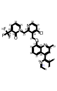 C/C=N\C(=C(C)C)c1cc(C)nc2c(OCc3c(Cl)ccnc3Cn3cccc(C(F)(F)F)c3=O)cccc12